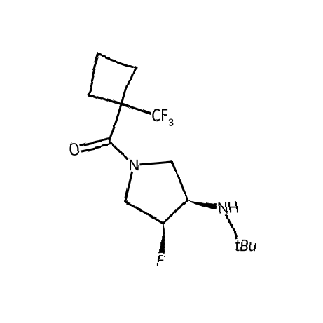 CC(C)(C)N[C@@H]1CN(C(=O)C2(C(F)(F)F)CCC2)C[C@@H]1F